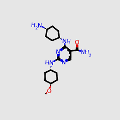 CO[C@H]1CC[C@H](Nc2ncc(C(N)=O)c(N[C@H]3CC[C@H](N)CC3)n2)CC1